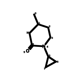 CC1CCN(C2CC2)C(=O)C1